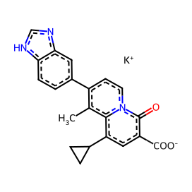 Cc1c(-c2ccc3[nH]cnc3c2)ccn2c(=O)c(C(=O)[O-])cc(C3CC3)c12.[K+]